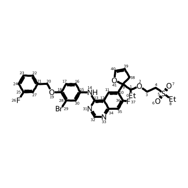 CCC(OCCS(=O)(=O)CC)C1(c2cc3c(Nc4ccc(OCc5cccc(F)c5)c(Br)c4)ncnc3cc2F)CC=CO1